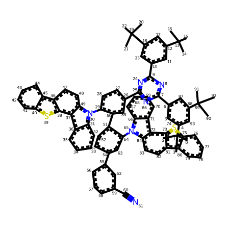 CC(C)(C)c1cc(-c2nc(-c3cc(C(C)(C)C)cc(C(C)(C)C)c3)nc(-c3ccc(-n4c5ccccc5c5c6sc7ccccc7c6ccc54)c(-c4ccc(-c5cccc(C#N)c5)cc4-n4c5ccccc5c5c6sc7ccccc7c6ccc54)c3)n2)cc(C(C)(C)C)c1